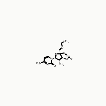 CCOC[C@@]1(N=[N+]=[N-])O[C@@H](n2ccc(N)nc2=O)[C@@H](C)[C@@H]1O